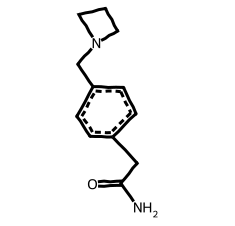 NC(=O)Cc1ccc(CN2CCC2)cc1